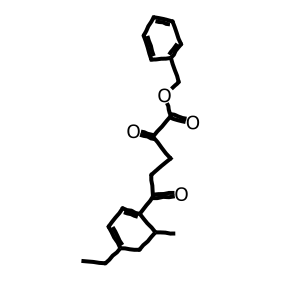 CCC1=CC=C(C(=O)CCC(=O)C(=O)OCc2ccccc2)C(C)C1